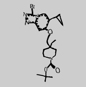 CC1(COc2cc3nnc(Br)n3cc2C2CC2)CCN(C(=O)OC(C)(C)C)CC1